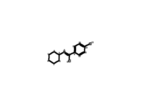 ClC(=NC1CCCCC1)c1ccc(Cl)cc1